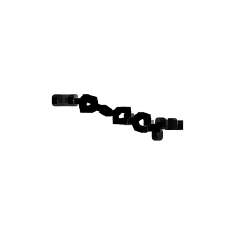 CC(C)(C)OC(=O)N1CCC(N2CCC(C#Cc3ccc(C=O)cc3)CC2)CC1